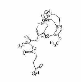 COc1ccc2c3c1O[C@@H]1C[C@@](O)(CC=C1OC(=O)[C@H](C)OC(=O)CCC(=O)O)[C@@H](C2)N(C)CCC3